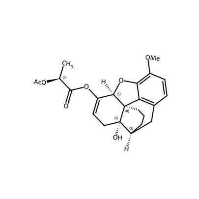 COc1ccc2c3c1O[C@@H]1C(OC(=O)[C@H](C)OC(C)=O)=CC[C@]4(O)[C@@H](CCC[C@@]314)C2